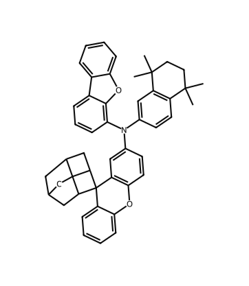 CC1(C)CCC(C)(C)c2cc(N(c3ccc4c(c3)C3(c5ccccc5O4)C4CC5CC6CC3C64C5)c3cccc4c3oc3ccccc34)ccc21